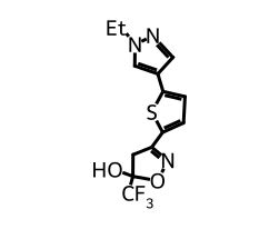 CCn1cc(-c2ccc(C3=NOC(O)(C(F)(F)F)C3)s2)cn1